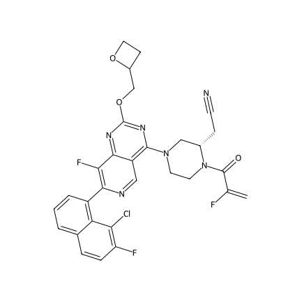 C=C(F)C(=O)N1CCN(c2nc(OCC3CCO3)nc3c(F)c(-c4cccc5ccc(F)c(Cl)c45)ncc23)C[C@@H]1CC#N